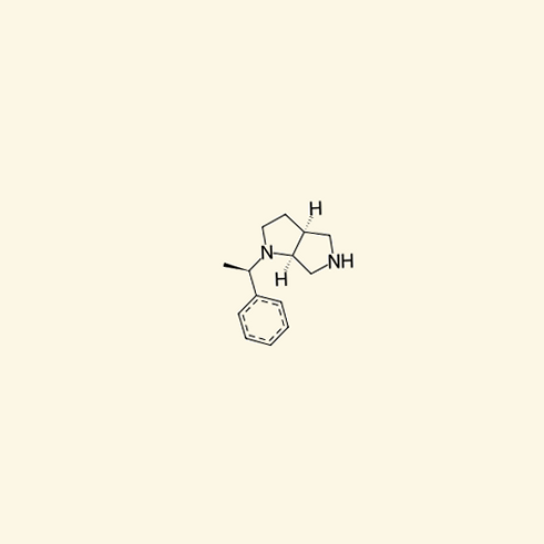 C[C@H](c1ccccc1)N1CC[C@H]2CNC[C@H]21